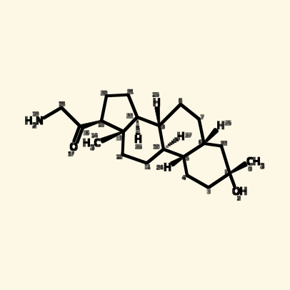 C[C@@]1(O)CC[C@H]2[C@H](CC[C@@H]3[C@@H]2CC[C@]2(C)[C@@H](C(=O)CN)CC[C@@H]32)C1